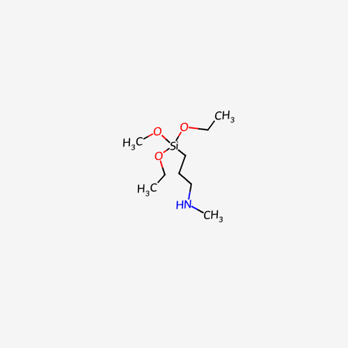 CCO[Si](CCCNC)(OC)OCC